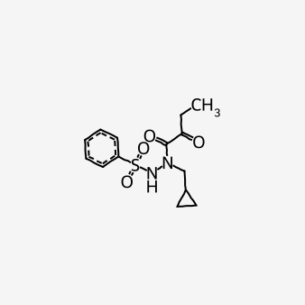 CCC(=O)C(=O)N(CC1CC1)NS(=O)(=O)c1ccccc1